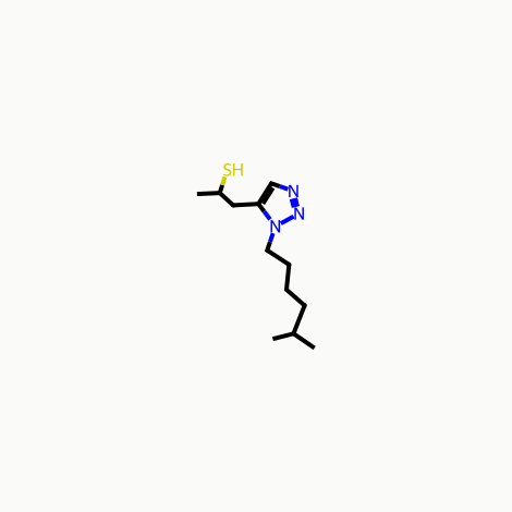 CC(C)CCCCn1nncc1CC(C)S